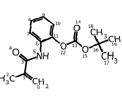 C=C(C)C(=O)Nc1ccccc1OC(=O)OC(C)(C)C